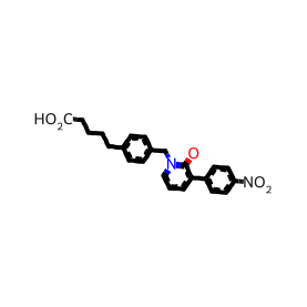 O=C(O)CCCCc1ccc(Cn2cccc(-c3ccc([N+](=O)[O-])cc3)c2=O)cc1